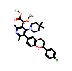 Cc1nc(C)c([C@H](OC(C)(C)C)C(=O)OC(C)C)c(N2CCC(C)(C)CC2)c1-c1ccc2c(c1)CCC(c1ccc(F)cc1)O2